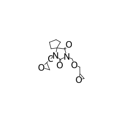 O=C1N(COCC2CO2)C(=O)C2(CCCC2)N1CC1CO1